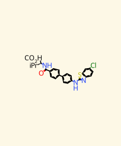 CC(C)[C@H](NC(=O)c1ccc(-c2ccc(Nc3nc4ccc(Cl)cc4s3)cc2)cc1)C(=O)O